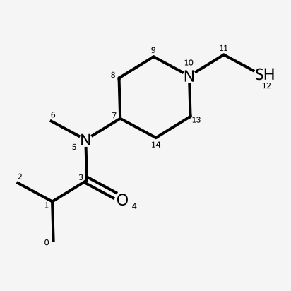 CC(C)C(=O)N(C)C1CCN(CS)CC1